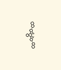 Cn1c2cc(-c3ccc4ccccc4c3)ccc2c2c3ccccc3c3c4ccc(-c5ccc6ccccc6c5)cc4n(C)c3c21